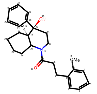 COc1ccccc1CCC(=O)N1CC[C@@](O)(c2ccccc2)[C@@H]2CCCCC21